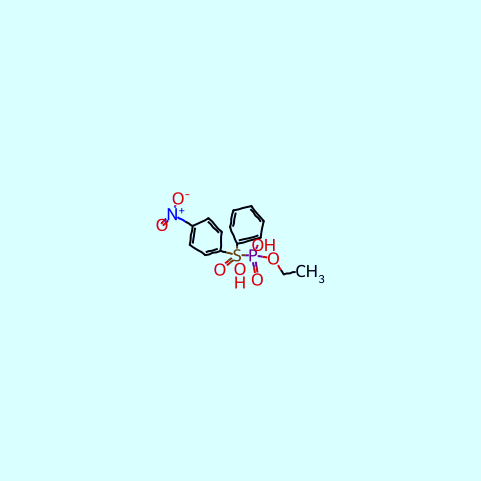 CCOP(=O)(O)S(=O)(O)(c1ccccc1)c1ccc([N+](=O)[O-])cc1